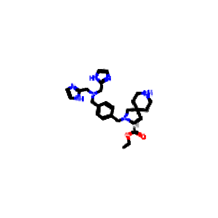 CCOC(=O)[C@H]1CC2(CCNCC2)CN1Cc1ccc(CN(Cc2ncc[nH]2)Cc2ncc[nH]2)cc1